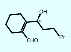 CC(C)CC[C@H](O)C1=C(C=O)CCCC1